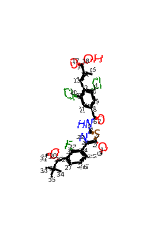 COc1sc(NC(=O)c2cc(Cl)c(/C=C(\C)C(=O)O)c(Cl)c2)nc1-c1cccc(C(OC)C(C)(C)C)c1F